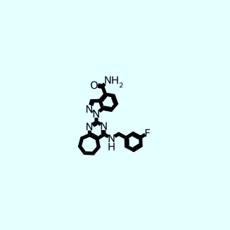 NC(=O)c1cccc2c1cnn2-c1nc2c(c(NCc3cccc(F)c3)n1)CCCCC2